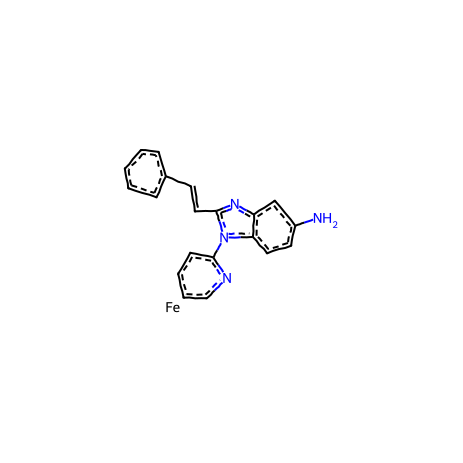 Nc1ccc2c(c1)nc(C=Cc1ccccc1)n2-c1ccccn1.[Fe]